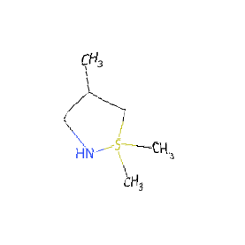 CC1CNS(C)(C)C1